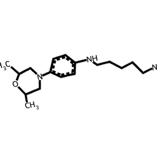 CC1CN(c2ccc(NCCCCCN)cc2)CC(C)O1